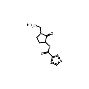 O=C(O)CN1CCC(SC(=O)c2nncs2)C1=O